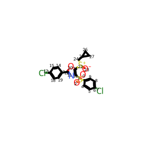 O=S(=O)(c1ccc(Cl)cc1)c1nc(-c2ccc(Cl)cc2)oc1[S+]([O-])CC1CC1